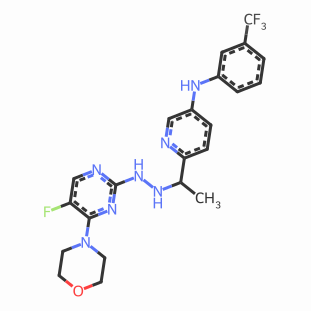 CC(NNc1ncc(F)c(N2CCOCC2)n1)c1ccc(Nc2cccc(C(F)(F)F)c2)cn1